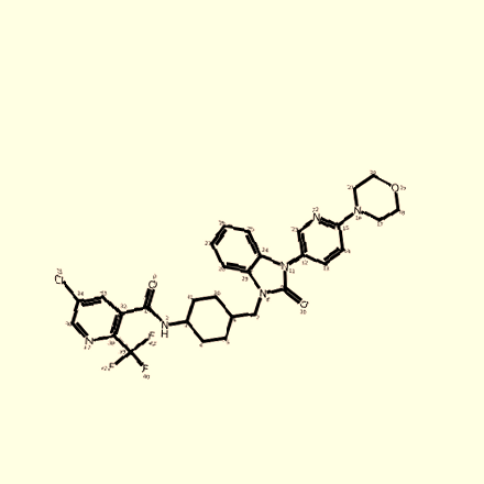 O=C(NC1CCC(Cn2c(=O)n(-c3ccc(N4CCOCC4)nc3)c3ccccc32)CC1)c1cc(Cl)cnc1C(F)(F)F